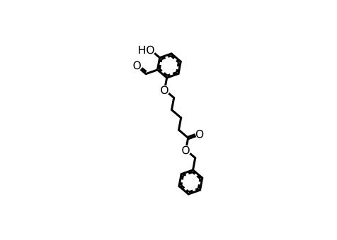 O=Cc1c(O)cccc1OCCCCC(=O)OCc1ccccc1